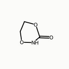 O=C1NOCCO1